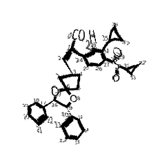 O=C(O)/C(=C/[C@H]1CCC2(C1)O[C@H](c1ccccc1)[C@@H](c1ccccc1)O2)c1ccc(S(=O)(=O)C2CC2)c(C2CC2)c1